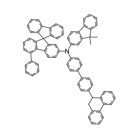 CC1(C)c2ccccc2-c2ccc(N(c3ccc(-c4ccc(C5Cc6ccccc6-c6ccccc65)cc4)cc3)c3ccc4c(c3)C3(c5ccccc5-c5ccccc53)c3cccc(-c5ccccc5)c3-4)cc21